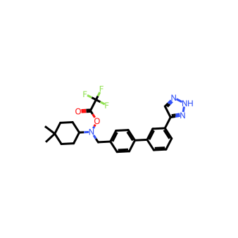 CC1(C)CCC(N(Cc2ccc(-c3cccc(-c4cn[nH]n4)c3)cc2)OC(=O)C(F)(F)F)CC1